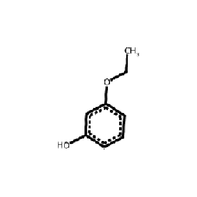 CCOc1cc[c]c(O)c1